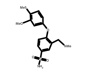 CNCc1cc(S(N)(=O)=O)ccc1Oc1ccc(SC)c(OC)c1